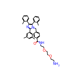 Cc1cc(C)cc(-c2nc(-c3ccccc3C)c(-c3ccccc3C)n2Cc2ccc(C(=O)NCCOCCOCCN)cc2)c1